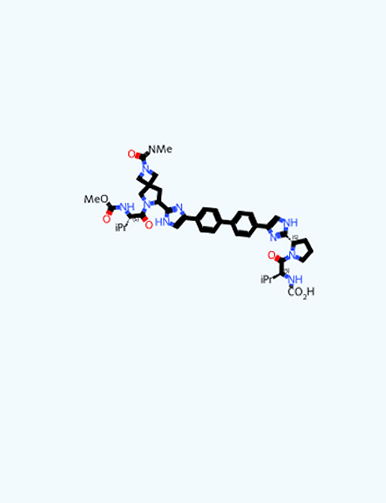 CNC(=O)N1CC2(CC(c3nc(-c4ccc(-c5ccc(-c6c[nH]c([C@@H]7CCCN7C(=O)[C@@H](NC(=O)O)C(C)C)n6)cc5)cc4)c[nH]3)N(C(=O)[C@@H](NC(=O)OC)C(C)C)C2)C1